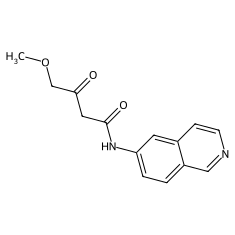 COCC(=O)CC(=O)Nc1ccc2cnccc2c1